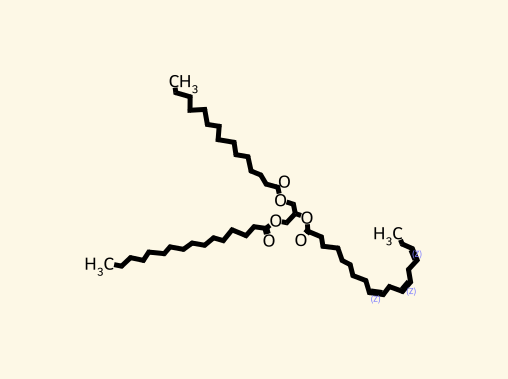 CC/C=C\C/C=C\C/C=C\CCCCCCCC(=O)OC(COC(=O)CCCCCCCCCCCCCC)COC(=O)CCCCCCCCCCCCCCC